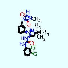 Cn1[nH]c(=O)n(Cc2cccc(-n3nc(C(C)(C)C)cc3NC(=O)Nc3cccc(Cl)c3Cl)c2)c1=O